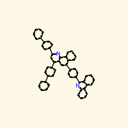 c1ccc(-c2ccc(-c3cc(-c4ccc(-c5ccccc5)cc4)c4cc(-c5ccc(-c6nc7ccccc7c7ccccc67)cc5)c5ccccc5c4n3)cc2)cc1